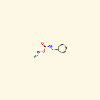 CCCNOC(=O)NCc1ccccc1